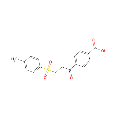 Cc1ccc(S(=O)(=O)CCC(=O)c2ccc(C(=O)O)cc2)cc1